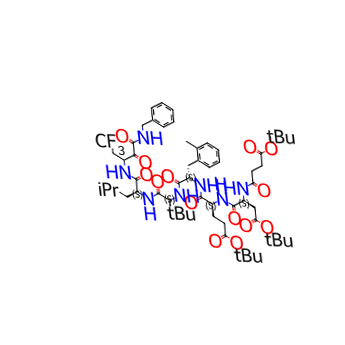 Cc1ccccc1C[C@H](NC(=O)[C@H](CCC(=O)OC(C)(C)C)NC(=O)[C@H](CC(=O)OC(C)(C)C)NC(=O)CCC(=O)OC(C)(C)C)C(=O)N[C@H](C(=O)N[C@@H](CC(C)C)C(=O)NC(CC(F)(F)F)C(=O)C(=O)NCc1ccccc1)C(C)(C)C